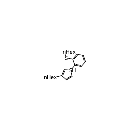 CCCCCCSc1c[c]ccc1[SH]1C=CC(CCCCCC)=C1